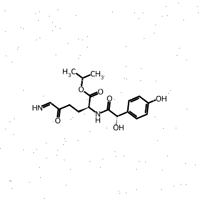 CC(C)OC(=O)[C@H](CCC(=O)C=N)NC(=O)[C@@H](O)c1ccc(O)cc1